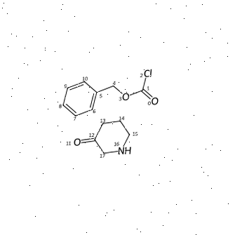 O=C(Cl)OCc1ccccc1.O=C1CCCNC1